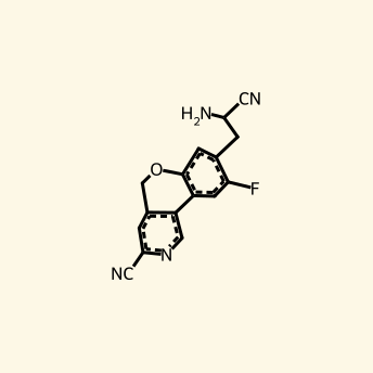 N#Cc1cc2c(cn1)-c1cc(F)c(CC(N)C#N)cc1OC2